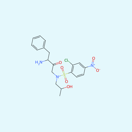 CC(O)CN(CC(=O)C(N)Cc1ccccc1)S(=O)(=O)c1ccc([N+](=O)[O-])cc1Cl